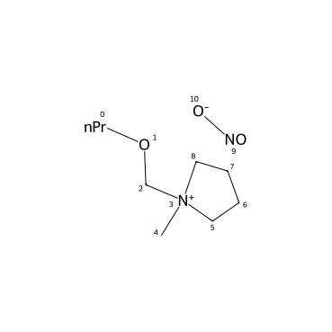 CCCOC[N+]1(C)CCCC1.O=N[O-]